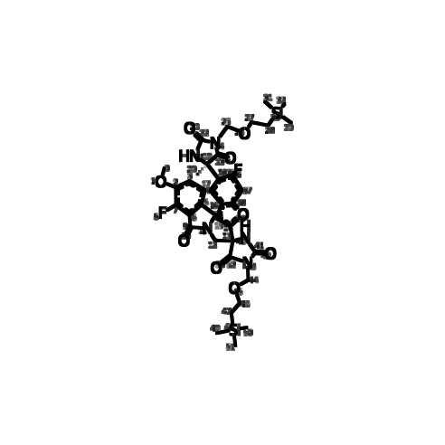 COc1ccc2c(c1F)C(=O)N(CC1(c3cc4cc([C@@]5(C)NC(=O)N(COCC[Si](C)(C)C)C5=O)c(F)cc4o3)NC(=O)N(COCC[Si](C)(C)C)C1=O)C2